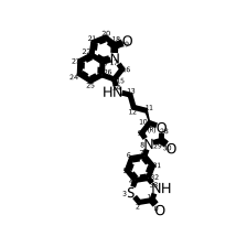 O=C1CSc2ccc(N3C[C@@H](CCCNC4Cn5c(=O)ccc6cccc4c65)OC3=O)cc2N1